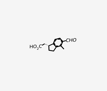 Cc1c(C=O)ccc2c1CC[C@@H]2CC(=O)O